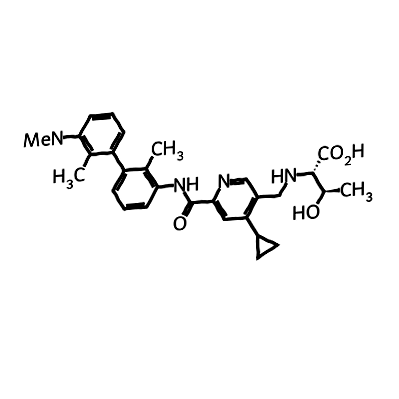 CNc1cccc(-c2cccc(NC(=O)c3cc(C4CC4)c(CN[C@H](C(=O)O)[C@@H](C)O)cn3)c2C)c1C